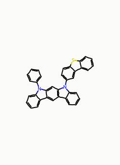 c1ccc(-n2c3ccccc3c3cc4c5ccccc5n(-c5ccc6sc7ccccc7c6c5)c4cc32)cc1